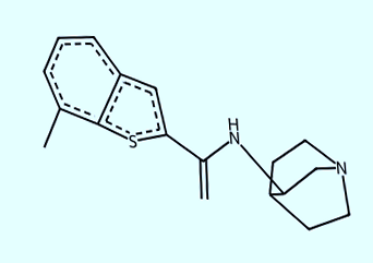 C=C(NC1CN2CCC1CC2)c1cc2cccc(C)c2s1